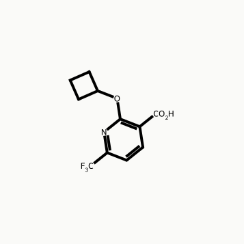 O=C(O)c1ccc(C(F)(F)F)nc1OC1CCC1